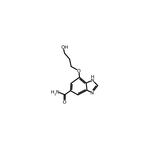 NC(=O)c1cc(OCCCO)c2[nH]cnc2c1